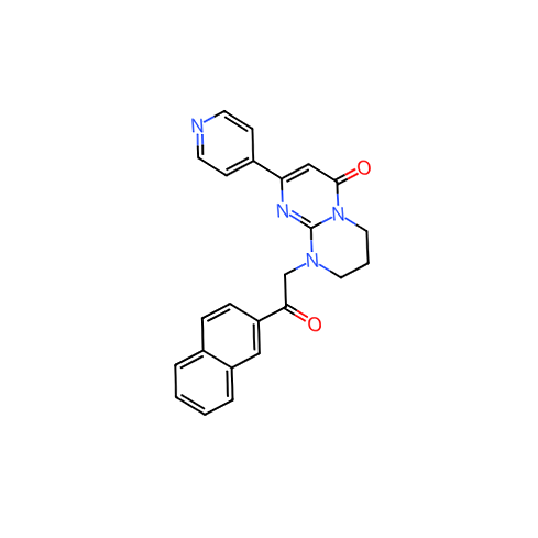 O=C(CN1CCCn2c1nc(-c1ccncc1)cc2=O)c1ccc2ccccc2c1